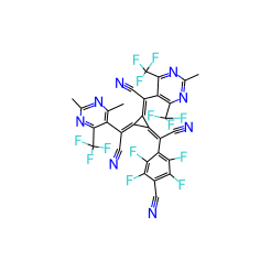 Cc1nc(C)c(/C(C#N)=C2/C(=C(C#N)c3c(F)c(F)c(C#N)c(F)c3F)/C2=C(/C#N)c2c(C(F)(F)F)nc(C)nc2C(F)(F)F)c(C(F)(F)F)n1